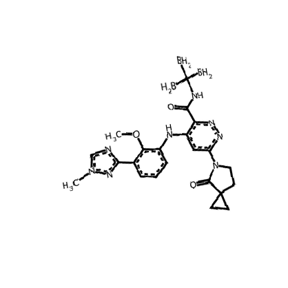 BC(B)(B)NC(=O)c1nnc(N2CCC3(CC3)C2=O)cc1Nc1cccc(-c2ncn(C)n2)c1OC